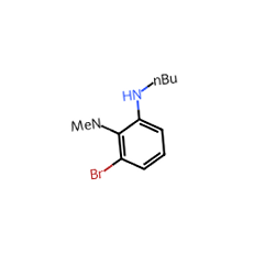 CCCCNc1cccc(Br)c1NC